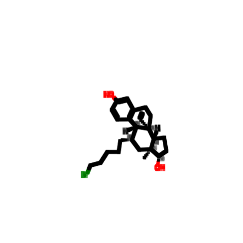 C=C[C@@]12CCc3cc(O)ccc3[C@H]1[C@@H](CCCCCBr)C[C@@]1(C)[C@H]2CC[C@@H]1O